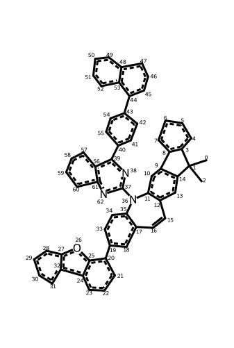 CC1(C)c2ccccc2-c2cc3c(cc21)C=Cc1cc(-c2cccc4c2oc2ccccc24)ccc1N3c1nc(-c2ccc(-c3cccc4ccccc34)cc2)c2ccccc2n1